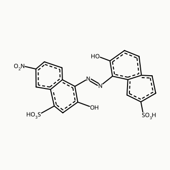 O=[N+]([O-])c1ccc2c(N=Nc3c(O)ccc4ccc(S(=O)(=O)O)cc34)c(O)cc(S(=O)(=O)O)c2c1